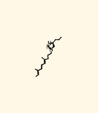 C/C=C(\C)CC/C=C(\C)CCCn1cc(CCC)nn1